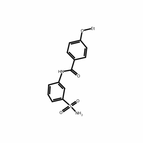 CCOc1ccc(C(=O)Nc2cccc(S(N)(=O)=O)c2)cc1